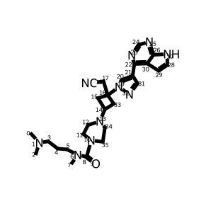 CN(C)CCCN(C)C(=O)N1CCN(C2CC(CC#N)(n3cc(-c4ncnc5[nH]ccc45)cn3)C2)CC1